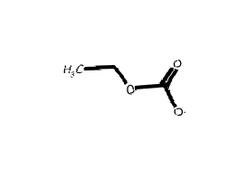 CCOC([O])=O